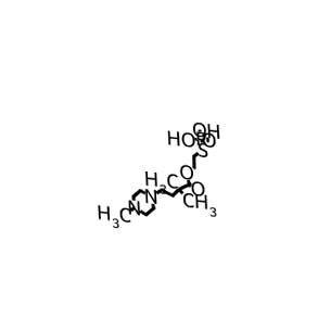 CN1CCN(CCC(C)(C)C(=O)OCCSP(=O)(O)O)CC1